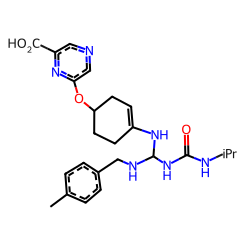 Cc1ccc(CNC(NC(=O)NC(C)C)NC2=CCC(Oc3cncc(C(=O)O)n3)CC2)cc1